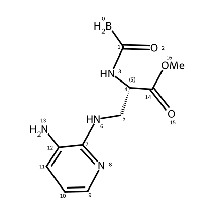 BC(=O)N[C@@H](CNc1ncccc1N)C(=O)OC